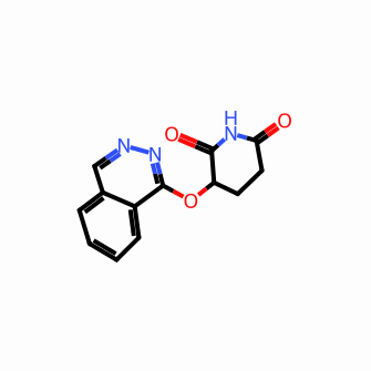 O=C1CCC(Oc2nncc3ccccc23)C(=O)N1